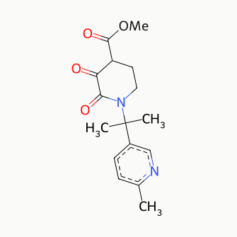 COC(=O)C1CCN(C(C)(C)c2ccc(C)nc2)C(=O)C1=O